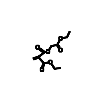 C=C(C(=O)OCC)C(=O)OCC(=O)OCC